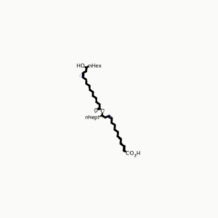 CCCCCCC[C@H](C/C=C\CCCCCCCCCC(=O)O)OC(=O)CCCCCCCCC/C=C\CC(O)CCCCCC